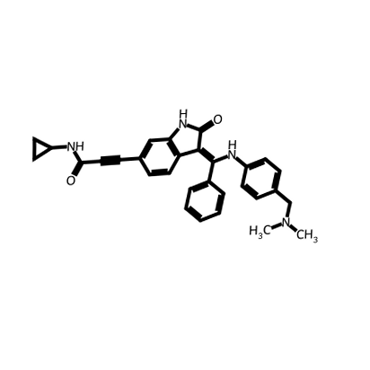 CN(C)Cc1ccc(N/C(=C2\C(=O)Nc3cc(C#CC(=O)NC4CC4)ccc32)c2ccccc2)cc1